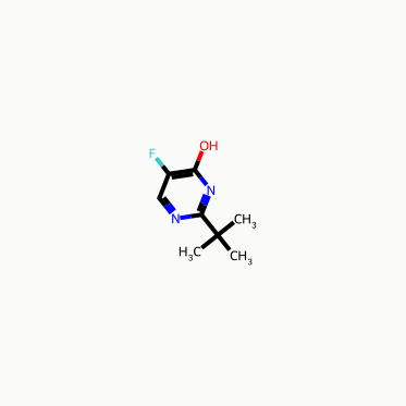 CC(C)(C)c1ncc(F)c(O)n1